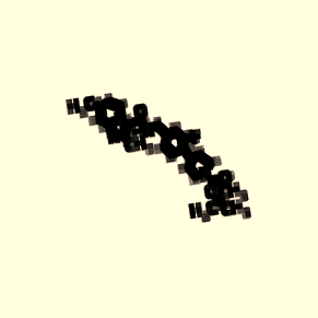 Cc1ccn2c(C(=O)NCc3ccc(C4CCN(C(=O)OC(C)(C)C)CC4)c(F)c3)c(C)nc2c1